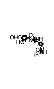 CC(C)NC(=O)O[C@@H]1CC[C@H](c2cc(NC(=O)c3ccc(C=O)c(O)c3)n[nH]2)C1